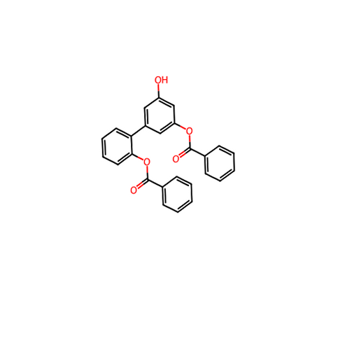 O=C(Oc1cc(O)cc(-c2ccccc2OC(=O)c2ccccc2)c1)c1ccccc1